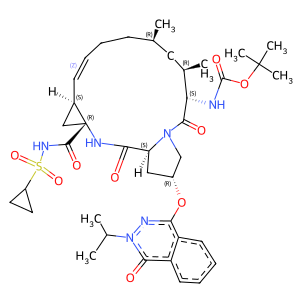 CC(C)n1nc(O[C@@H]2C[C@H]3C(=O)N[C@]4(C(=O)NS(=O)(=O)C5CC5)C[C@H]4/C=C\CC[C@@H](C)C[C@@H](C)[C@H](NC(=O)OC(C)(C)C)C(=O)N3C2)c2ccccc2c1=O